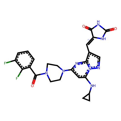 O=C1NC(=O)/C(=C/c2cnn3c(NC4CC4)cc(N4CCN(C(=O)c5cccc(F)c5F)CC4)nc23)N1